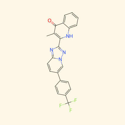 Cc1c(-c2nc3ccc(-c4ccc(C(F)(F)F)cc4)cn3n2)[nH]c2ccccc2c1=O